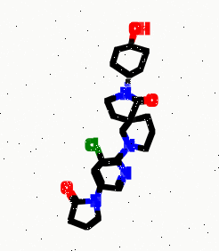 O=C1CCCN1c1cnc(N2CCC[C@]3(CCN([C@H]4CC[C@H](O)CC4)C3=O)C2)c(Cl)c1